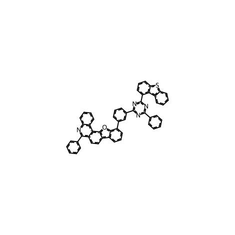 c1ccc(-c2nc(-c3cccc(-c4cccc5c4oc4c5ccc5c(-c6ccccc6)nc6ccccc6c54)c3)nc(-c3cccc4sc5ccccc5c34)n2)cc1